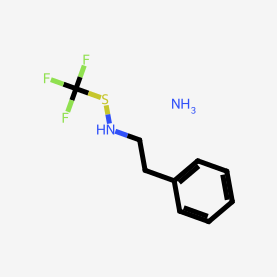 FC(F)(F)SNCCc1ccccc1.N